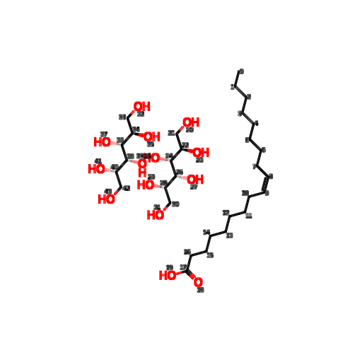 CCCCCCCC/C=C\CCCCCCCC(=O)O.OC[C@@H](O)[C@@H](O)[C@H](O)[C@@H](O)CO.OC[C@@H](O)[C@@H](O)[C@H](O)[C@@H](O)CO